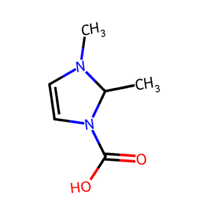 CC1N(C)C=CN1C(=O)O